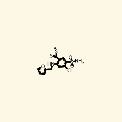 CSC(=S)c1cc(S(N)(=O)=O)c(Cl)cc1NCc1ccco1